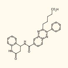 O=C(O)CCCCc1nc2cc(C(=O)NC3CC(=O)Nc4ccccc43)ccc2nc1-c1ccccc1